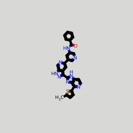 Cc1ccc(-c2nccc3[nH]c(-c4n[nH]c5cnc(-c6cncc(NC(=O)c7ccccc7)c6)cc45)nc23)s1